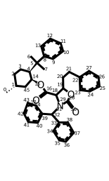 C[C@@H]1CC[C@@H](C(C)(C)c2ccccc2)[C@@H](OC(=O)C2C(CCc3ccccc3)OC(=O)N2C(c2ccccc2)c2ccccc2)C1